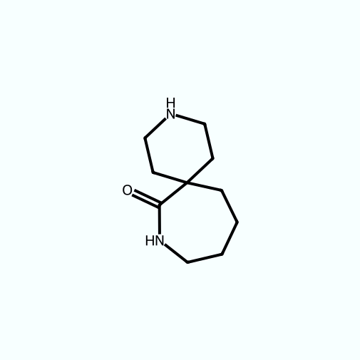 O=C1NCCCCC12CCNCC2